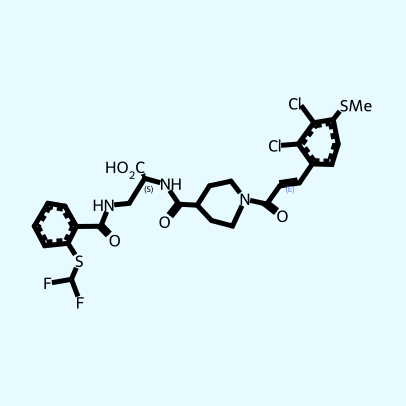 CSc1ccc(/C=C/C(=O)N2CCC(C(=O)N[C@@H](CNC(=O)c3ccccc3SC(F)F)C(=O)O)CC2)c(Cl)c1Cl